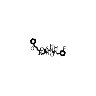 CN(Cc1csc(NC(=O)NCc2cccc(F)c2)n1)C(=O)CCC(=O)c1ccccc1